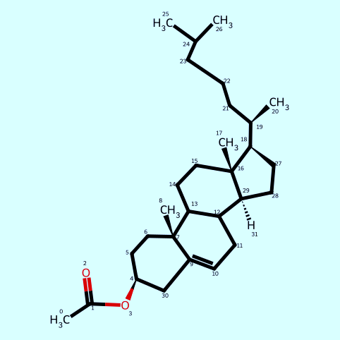 CC(=O)O[C@H]1CC[C@@]2(C)C(=CCC3C2CC[C@]2(C)[C@@H]([C@H](C)CCCC(C)C)CC[C@@H]32)C1